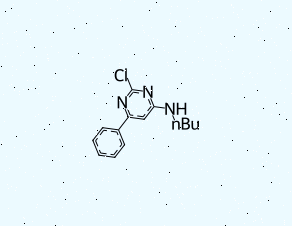 CCCCNc1cc(-c2ccccc2)nc(Cl)n1